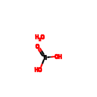 O.[O]=[Ti]([OH])[OH]